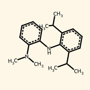 CC(C)c1cccc(C(C)C)c1Nc1ccccc1N(C)C